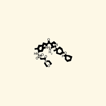 Cc1cc2cc(C(=O)c3cnn(C4(C)C=CC(OC5(F)C=CC=CC5)=CC4)c3N)[nH]c2cc1NS(=O)(=O)CC(=O)N1CCOCC1